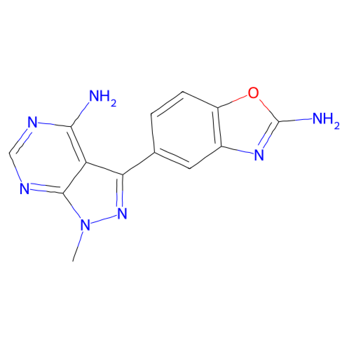 Cn1nc(-c2ccc3oc(N)nc3c2)c2c(N)ncnc21